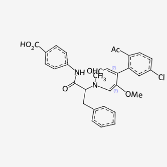 COC(=C/N(C)C(Cc1ccccc1)C(=O)Nc1ccc(C(=O)O)cc1)/C(=C\C=O)c1cc(Cl)ccc1C(C)=O